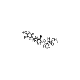 CC(=O)N[C@@H](C)COc1ccc2nc(-c3ccc(O)c(F)c3)oc2c1F